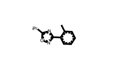 Cc1ccccc1-c1noc(C(C)C)n1